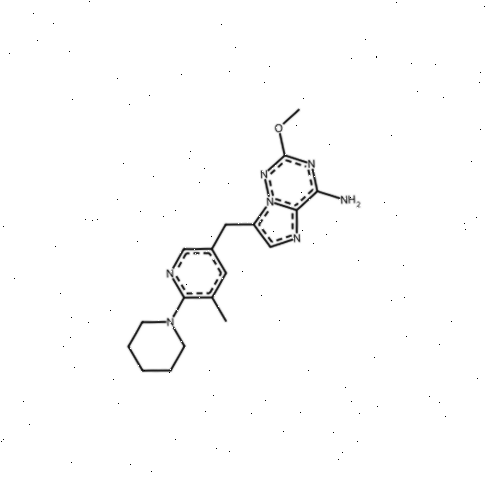 COc1nc(N)c2ncc(Cc3cnc(N4CCCCC4)c(C)c3)n2n1